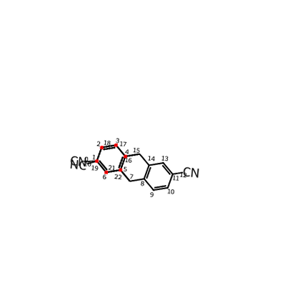 [C-]#[N+]c1ccc2c(c1)C1c3ccc(C#N)cc3C2c2ccc(C#N)cc21